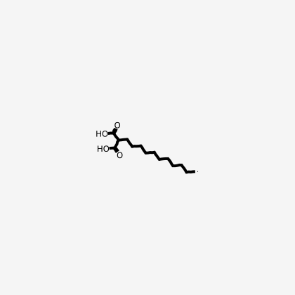 [CH2]CCCCCCCCCCC(C(=O)O)C(=O)O